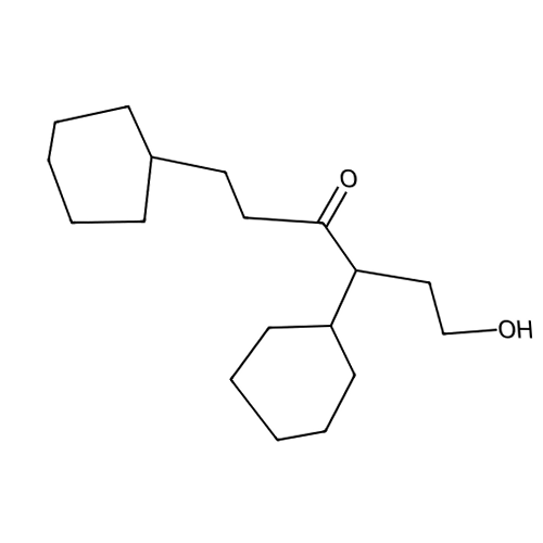 O=C(CCC1CCCCC1)C(CCO)C1CCCCC1